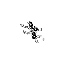 COCN(c1cc(Cl)cnc1C(=O)c1cccnc1OC)S(=O)(=O)c1ccc(Cl)c(C(F)(F)F)c1